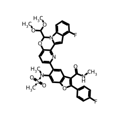 CNC(=O)c1c(-c2ccc(F)cc2)oc2cc(N(C)S(C)(=O)=O)c(-c3ccc4c(n3)-c3cc5c(F)cccc5n3C(C(OC)OC)O4)cc12